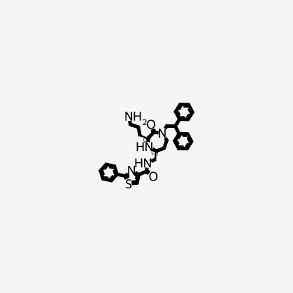 NCCC[C@@H]1N[C@H](CNC(=O)c2csc(-c3ccccc3)n2)CCN(CC(c2ccccc2)c2ccccc2)C1=O